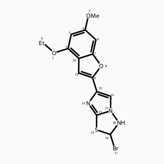 CCOc1cc(OC)cc2oc(-c3cn4c(n3)SC(Br)N4)cc12